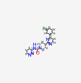 O=C(Nc1cccnn1)N1CCC(c2nccc(-c3cccc(F)c3)n2)CC1